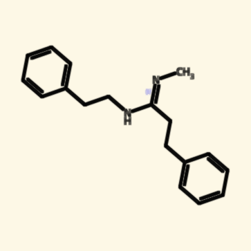 C/N=C(\CCc1ccccc1)NCCc1ccccc1